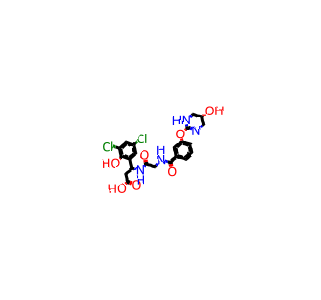 O=C(O)CC(NC(=O)CNC(=O)c1cccc(OC2=NCC(O)CN2)c1)c1cc(Cl)cc(Cl)c1O